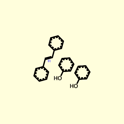 C(=C\c1ccccc1)/c1ccccc1.Oc1ccccc1.Oc1ccccc1